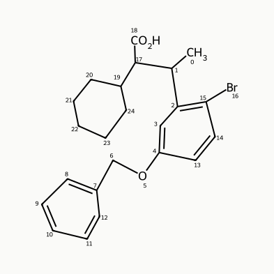 CC(c1cc(OCc2ccccc2)ccc1Br)C(C(=O)O)C1CCCCC1